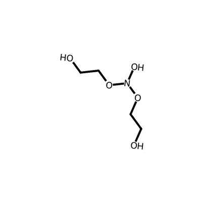 OCCON(O)OCCO